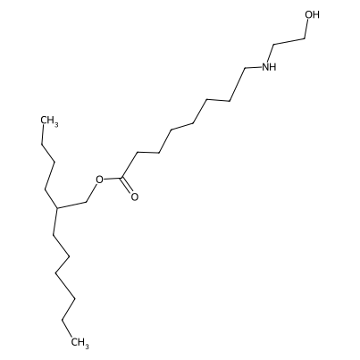 CCCCCCC(CCCC)COC(=O)CCCCCCCNCCO